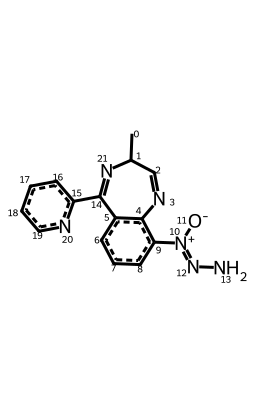 CC1C=Nc2c(cccc2[N+]([O-])=NN)C(c2ccccn2)=N1